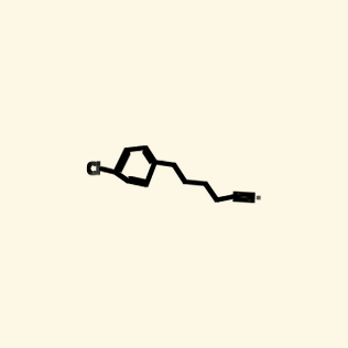 [C]#CCCCCc1ccc(Cl)cc1